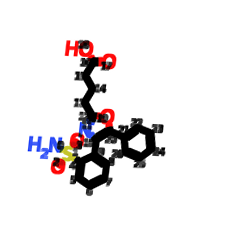 NS(=O)(=O)c1ccccc1-c1nc(CCCC(=O)O)oc1-c1ccccc1